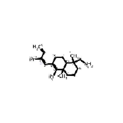 C=C/C(=C\C1=C(C(C)C)C2(C)CCCC(C)(CN)C2CC1)C(C)C